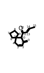 C=C1C=CCC2(CCCC2)C1C(=O)/C=C/C